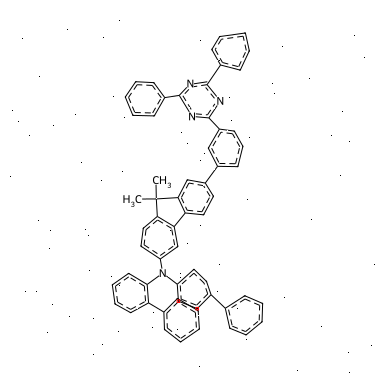 CC1(C)c2ccc(N(c3ccc(-c4ccccc4)cc3)c3ccccc3-c3ccccc3)cc2-c2ccc(-c3cccc(-c4nc(-c5ccccc5)nc(-c5ccccc5)n4)c3)cc21